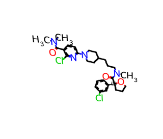 CN(C)C(=O)c1ccc(N2CCC(CCCN(C)C(=O)[C@@]3(c4cccc(Cl)c4)CCCO3)CC2)nc1Cl